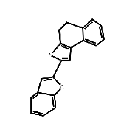 C1=C(c2cc3ccccc3o2)[N]C2=C1c1ccccc1CC2